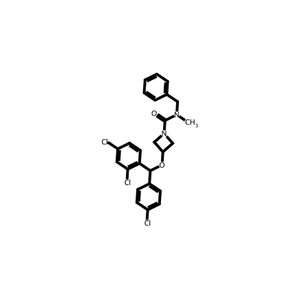 CN(Cc1ccccc1)C(=O)N1CC(OC(c2ccc(Cl)cc2)c2ccc(Cl)cc2Cl)C1